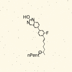 CCCCCOC(C)CCCC=Cc1ccc(-c2ccc3nc(O)ncc3c2)cc1F